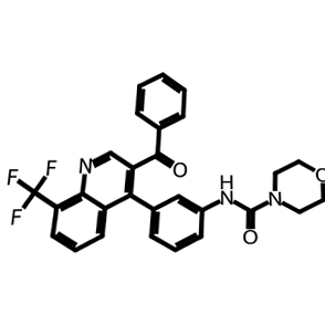 O=C(c1ccccc1)c1cnc2c(C(F)(F)F)cccc2c1-c1cccc(NC(=O)N2CCOCC2)c1